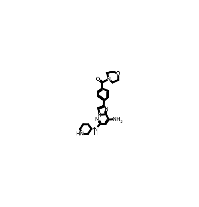 Nc1cc(N[C@H]2CCCNC2)nn2cc(-c3ccc(C(=O)N4CCOCC4)cc3)nc12